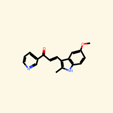 COc1ccc2[nH]c(C)c(/C=C/C(=O)c3cccnc3)c2c1